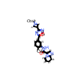 Cc1ccc(-c2nc(C3CN(C=O)C3)no2)cc1NC(=O)c1cnc2n1C=CCC2